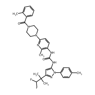 Cc1ccc(-n2nc(C(C)(C)C(F)F)cc2NC(=O)Nc2ccc(N3CCN(C(=O)c4ccccc4C)CC3)nc2C)cc1